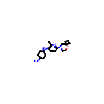 Cc1nc(N2CCOC3(CCC3)C2)ccc1NC1CCC(N)CC1